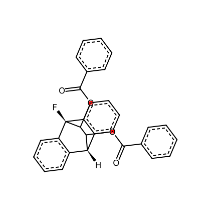 O=C(OC1C(OC(=O)c2ccccc2)[C@]2(F)c3ccccc3[C@H]1c1ccccc12)c1ccccc1